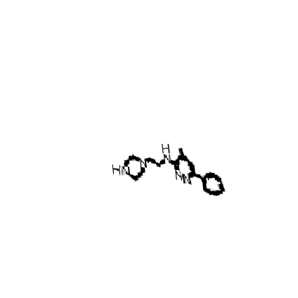 Cc1cc(-c2ccccc2)nnc1NCCN1CCNCC1